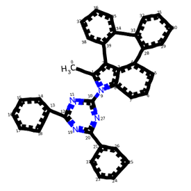 Cc1c2c3c(cccc3n1-c1nc(-c3ccccc3)nc(-c3ccccc3)n1)-c1ccccc1-c1ccccc1-2